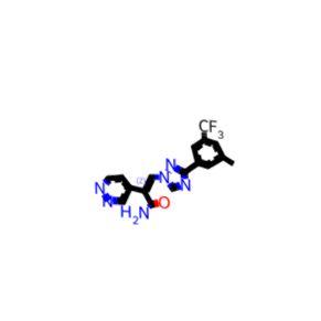 Cc1cc(-c2ncn(/C=C(\C(N)=O)c3ccnnc3)n2)cc(C(F)(F)F)c1